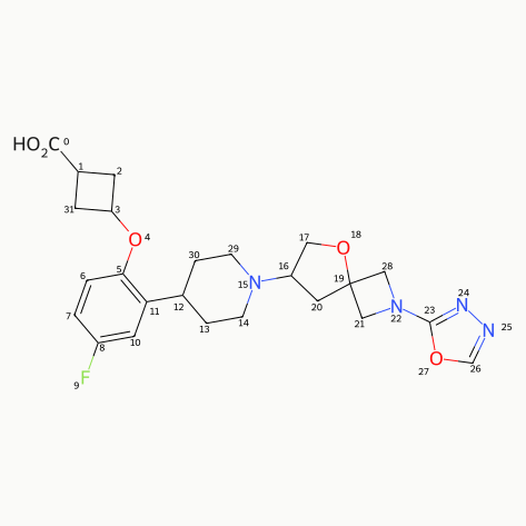 O=C(O)C1CC(Oc2ccc(F)cc2C2CCN(C3COC4(C3)CN(c3nnco3)C4)CC2)C1